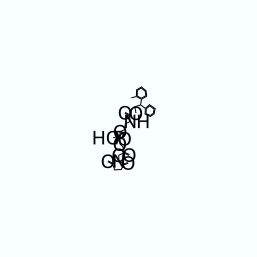 Cc1ccccc1C(COC(=O)NCCOP(=O)(O)OCC(=O)ON1C(=O)CCC1=O)c1ccccc1